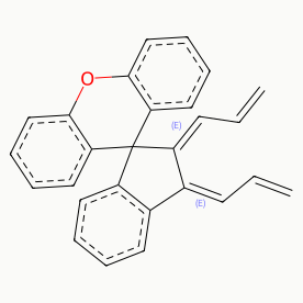 C=C/C=C1\C(=C/C=C)C2(c3ccccc3Oc3ccccc32)c2ccccc21